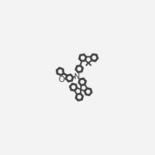 CC1(C)c2ccccc2-c2cccc(-c3ccc(N(c4ccc5c(c4)C4(c6ccccc6-c6ccccc64)c4ccccc4-5)c4ccc5oc6ccccc6c5c4)cc3)c21